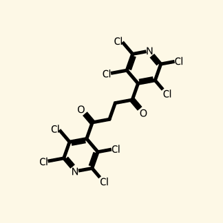 O=C(CCC(=O)c1c(Cl)c(Cl)nc(Cl)c1Cl)c1c(Cl)c(Cl)nc(Cl)c1Cl